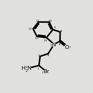 NC(Br)CCN1C(=O)Cc2ccccc21